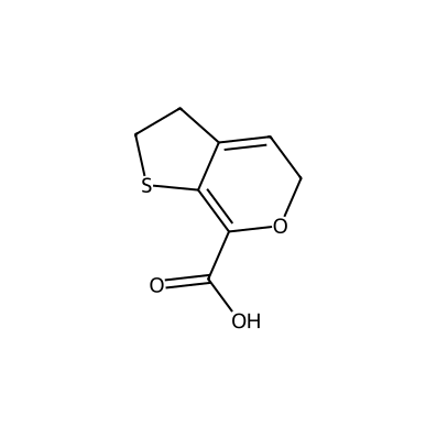 O=C(O)C1=C2SCCC2=CCO1